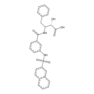 O=C(NC(Cc1ccccc1)[C@H](O)C(=O)O)c1cccc(NS(=O)(=O)c2ccc3ccccc3c2)c1